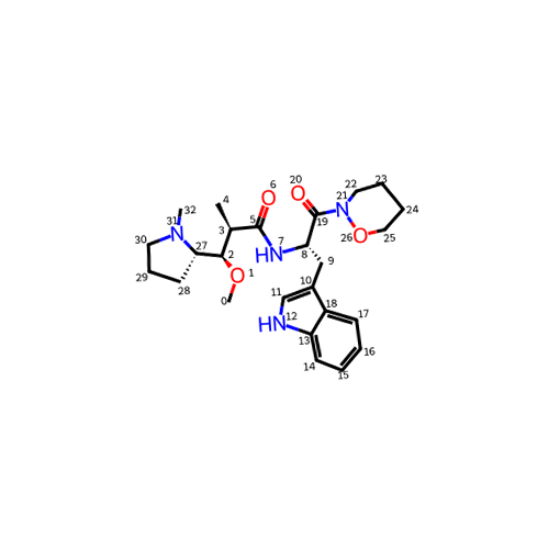 CO[C@H]([C@@H](C)C(=O)N[C@@H](Cc1c[nH]c2ccccc12)C(=O)N1CCCCO1)[C@@H]1CCCN1C